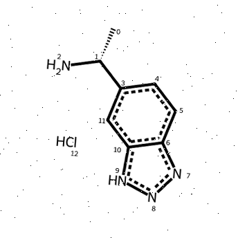 C[C@@H](N)c1ccc2nn[nH]c2c1.Cl